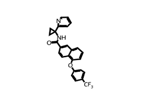 O=C(NC1(c2ccccn2)CC1)c1ccc2c(Oc3ccc(C(F)(F)F)cc3)cccc2c1